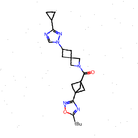 CC(C)(C)c1nc(C23CC(C(=O)N4CC5(CC(n6cnc(C7CC7)n6)C5)C4)(C2)C3)no1